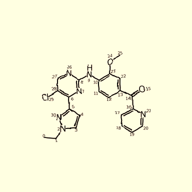 CCn1ccc(-c2nc(Nc3ccc(C(=O)c4ccccn4)cc3OC)ncc2Cl)n1